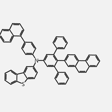 c1ccc(-c2cc(N(c3ccc(-c4cccc5ccccc45)cc3)c3ccc4sc5ccccc5c4c3)cc(-c3ccccc3)c2-c2ccc3c(ccc4ccccc43)c2)cc1